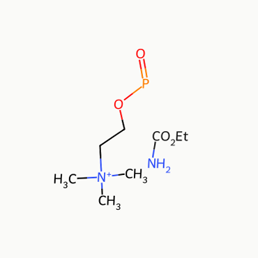 CCOC(N)=O.C[N+](C)(C)CCOP=O